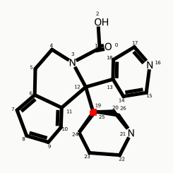 O=C(O)N1CCc2ccccc2C1(c1ccncc1)C1CN2CCC1CC2